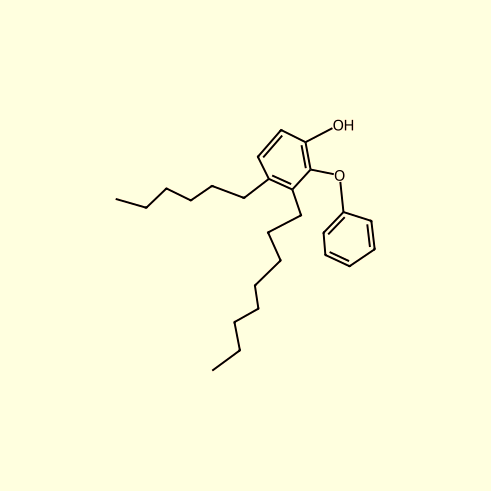 CCCCCCCCc1c(CCCCCC)ccc(O)c1Oc1ccccc1